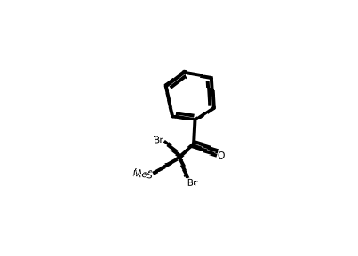 CSC(Br)(Br)C(=O)c1ccccc1